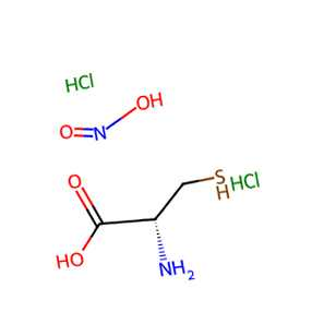 Cl.Cl.N[C@@H](CS)C(=O)O.O=NO